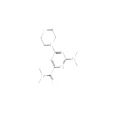 C[C@@H]1COCCN1c1cc(C(=O)N(C)C)nc(N(C)C)n1